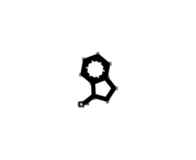 ClC1[CH]Cc2ccccc21